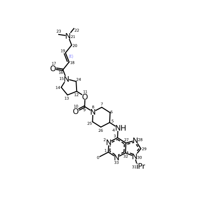 Cc1nc(NC2CCN(C(=O)OC3CCN(C(=O)/C=C/CN(C)C)C3)CC2)c2ncn(C(C)C)c2n1